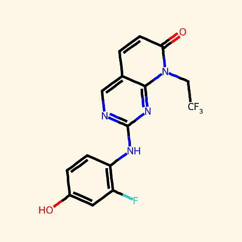 O=c1ccc2cnc(Nc3ccc(O)cc3F)nc2n1CC(F)(F)F